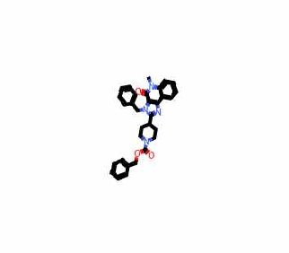 Cn1c(=O)c2c(nc(C3CCN(C(=O)OCc4ccccc4)CC3)n2Cc2ccccc2)c2ccccc21